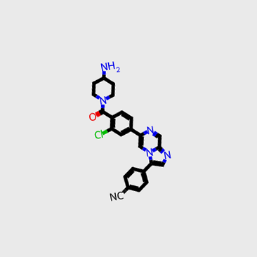 N#Cc1ccc(-c2cnc3cnc(-c4ccc(C(=O)N5CCC(N)CC5)c(Cl)c4)cn23)cc1